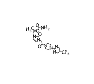 C[C@@H](Cn1ccn(CC(=O)N2CCN(c3ncc(C(F)(F)F)cn3)CC2)c1=O)OC(N)=O